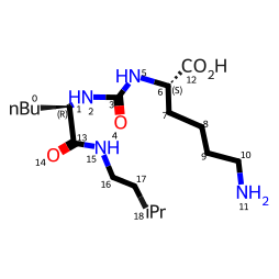 CCCC[C@@H](NC(=O)N[C@@H](CCCCN)C(=O)O)C(=O)NCCC(C)C